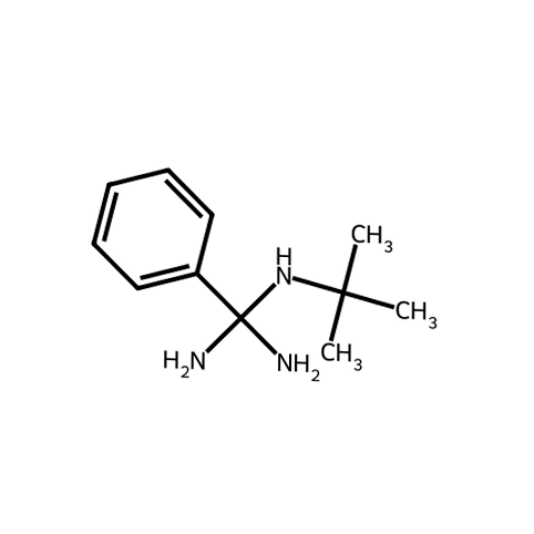 CC(C)(C)NC(N)(N)c1ccccc1